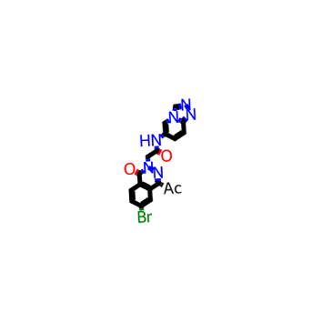 CC(=O)c1nn(CC(=O)Nc2ccc3nncn3c2)c(=O)c2ccc(Br)cc12